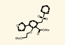 COCCOc1c(-c2ccoc2)ccc(CS(=O)(=O)c2ccccc2)c1C(=O)OC